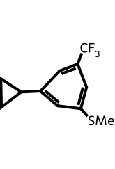 CSc1cc(C2CC2)cc(C(F)(F)F)c1